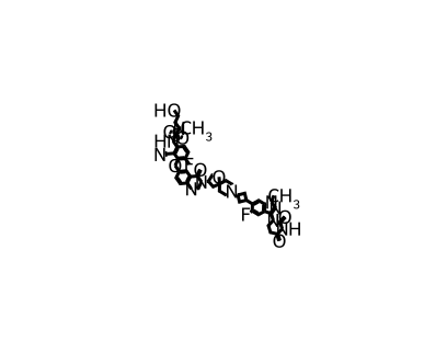 CN(CCO)S(=O)(=O)Nc1ccc(F)c(Oc2ccc3ncn(C4COC5(CCN(C6CC(c7cc8c(cc7F)c(N7CCC(=O)NC7=O)nn8C)C6)CC5)C4)c(=O)c3c2)c1C#N